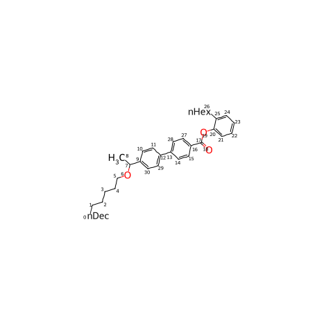 CCCCCCCCCCCCCCCOC(C)c1ccc(-c2ccc(C(=O)Oc3ccccc3CCCCCC)cc2)cc1